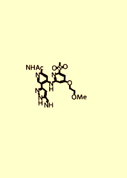 COCCOc1cc(Nc2cc(NC(C)=O)ncc2-c2cc(C=N)[nH]n2)nc(S(C)(=O)=O)c1